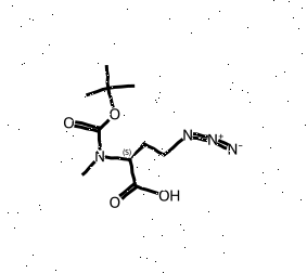 CN(C(=O)OC(C)(C)C)[C@@H](CCN=[N+]=[N-])C(=O)O